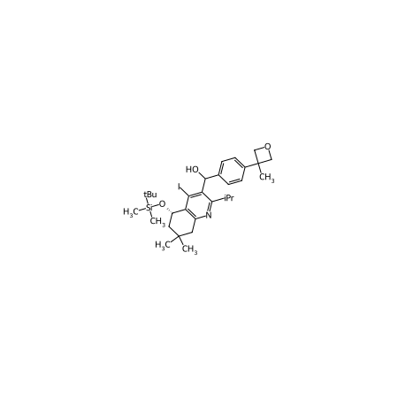 CC(C)c1nc2c(c(I)c1C(O)c1ccc(C3(C)COC3)cc1)[C@@H](O[Si](C)(C)C(C)(C)C)CC(C)(C)C2